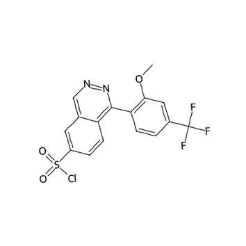 COc1cc(C(F)(F)F)ccc1-c1nncc2cc(S(=O)(=O)Cl)ccc12